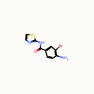 Nc1ccc(C(=O)Nc2nccs2)cc1Br